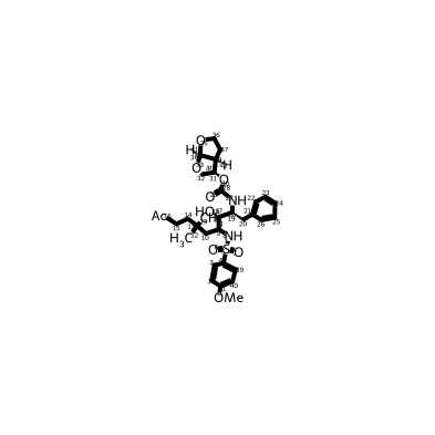 COc1ccc(S(=O)(=O)NC(CC(C)(C)CCC(C)=O)[C@H](O)[C@H](Cc2ccccc2)NC(=O)O[C@H]2CO[C@H]3OCC[C@H]32)cc1